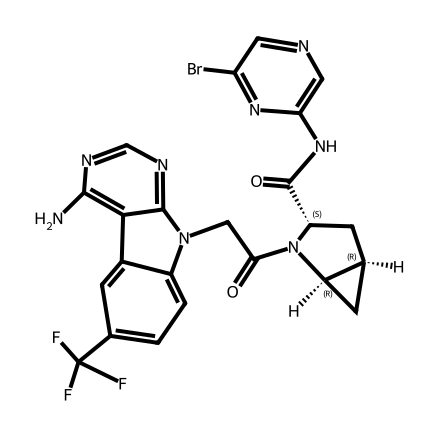 Nc1ncnc2c1c1cc(C(F)(F)F)ccc1n2CC(=O)N1[C@@H]2C[C@@H]2C[C@H]1C(=O)Nc1cncc(Br)n1